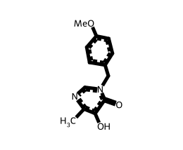 COc1ccc(Cn2cnc(C)c(O)c2=O)cc1